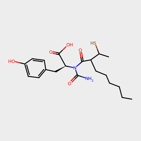 CCCCCCC(C(=O)N(C(N)=O)[C@@H](Cc1ccc(O)cc1)C(=O)O)C(C)S